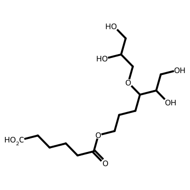 O=C(O)CCCCC(=O)OCCCC(OCC(O)CO)C(O)CO